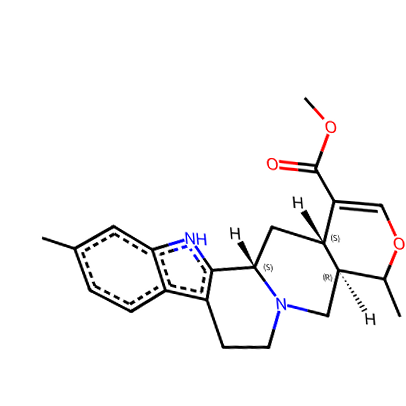 COC(=O)C1=COC(C)[C@H]2CN3CCc4c([nH]c5cc(C)ccc45)[C@@H]3C[C@H]12